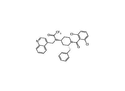 O=C(c1c(Cl)cccc1Cl)N1CC[C@H](N(Cc2ccnc3ccccc23)C(=O)C(F)(F)F)C[C@H]1Cc1ccccc1